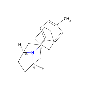 Cc1ccc([C@@H]2C[C@H]3CC[C@@H](C2)N3C2CCCCC2)cc1